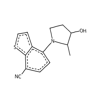 CC1C(O)CCN1c1ccc(C#N)c2sccc12